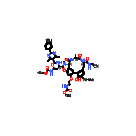 CC(=O)Nc1cc2cc(c1O)-c1cc(ccc1OCCNC(=O)OC(C)(C)C)[C@H](N(C)C(=O)[C@H](CCNC(=O)OC(C)(C)C)NC(=O)c1c(C)nc(-c3ccc(C(C)(C)C)cc3)nc1C)C(=O)N[C@@H](C)C(=O)N[C@H](C(=O)NCC#N)C2